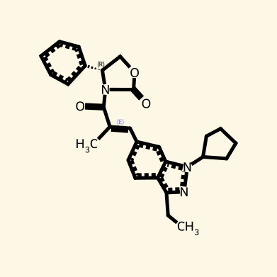 CCc1nn(C2CCCC2)c2cc(/C=C(\C)C(=O)N3C(=O)OC[C@H]3c3ccccc3)ccc12